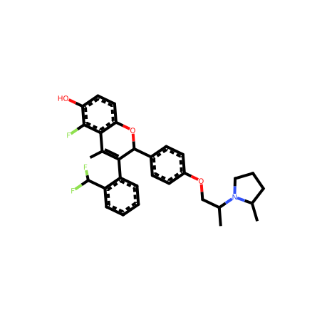 CC1=C(c2ccccc2C(F)F)C(c2ccc(OCC(C)N3CCCC3C)cc2)Oc2ccc(O)c(F)c21